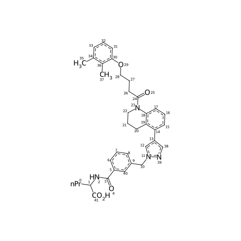 CCCC(NC(=O)c1cccc(Cn2cc(-c3cccc4c3CCCN4C(=O)CCCOc3cccc(C)c3C)cn2)c1)C(=O)O